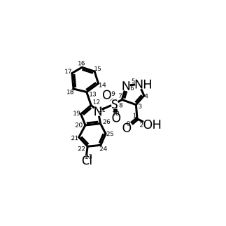 O=C(O)c1c[nH]nc1S(=O)(=O)n1c(-c2ccccc2)cc2cc(Cl)ccc21